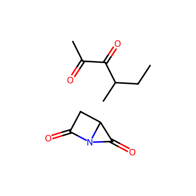 CCC(C)C(=O)C(C)=O.O=C1CC2C(=O)N12